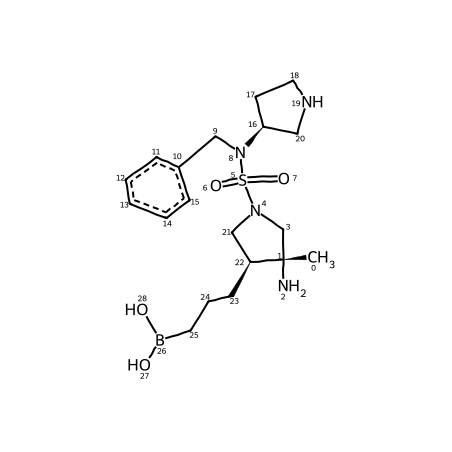 C[C@]1(N)CN(S(=O)(=O)N(Cc2ccccc2)[C@H]2CCNC2)C[C@@H]1CCCB(O)O